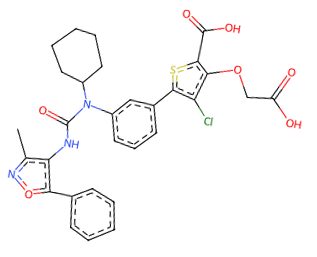 Cc1noc(-c2ccccc2)c1NC(=O)N(c1cccc(-c2sc(C(=O)O)c(OCC(=O)O)c2Cl)c1)C1CCCCC1